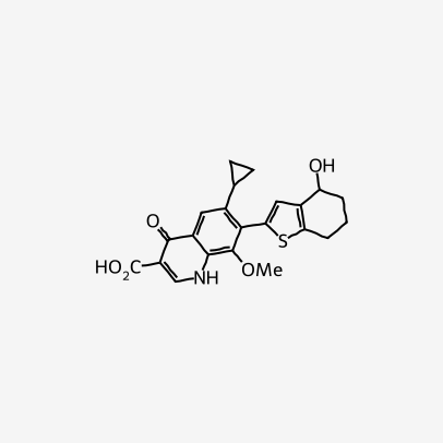 COc1c(-c2cc3c(s2)CCCC3O)c(C2CC2)cc2c(=O)c(C(=O)O)c[nH]c12